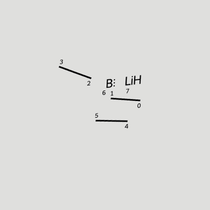 CC.CC.CC.[B].[LiH]